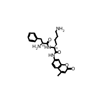 Cc1cc(=O)oc2cc(NC(=O)[C@H](CCCCN)NC(=O)[C@@H](N)Cc3ccccc3)ccc12